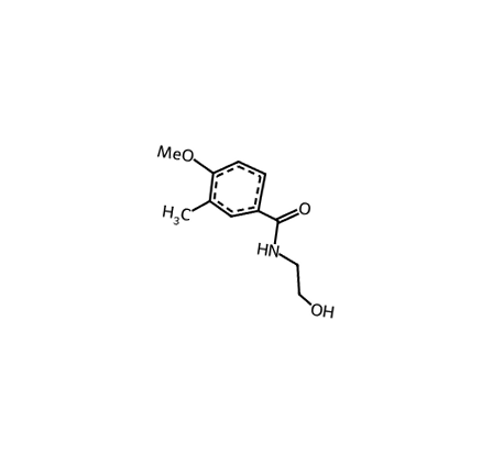 COc1ccc(C(=O)NCCO)cc1C